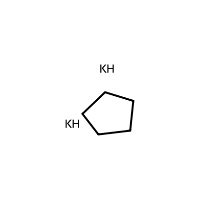 C1CCCC1.[KH].[KH]